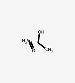 CCO.O=[SiH2]